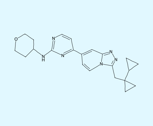 c1cc(-c2ccn3c(CC4(C5CC5)CC4)nnc3c2)nc(NC2CCOCC2)n1